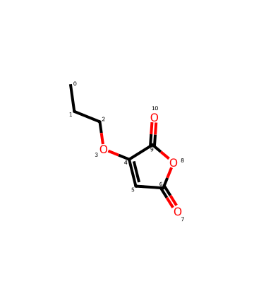 CCCOC1=CC(=O)OC1=O